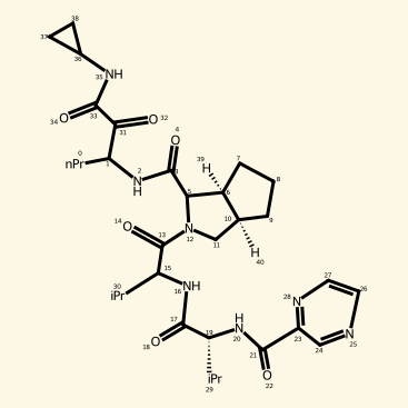 CCCC(NC(=O)C1[C@H]2CCC[C@H]2CN1C(=O)C(NC(=O)[C@H](NC(=O)c1cnccn1)C(C)C)C(C)C)C(=O)C(=O)NC1CC1